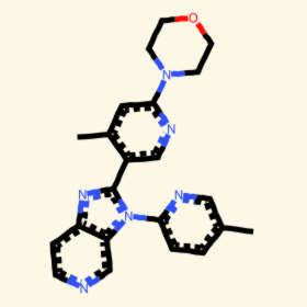 Cc1ccc(-n2c(-c3cnc(N4CCOCC4)cc3C)nc3ccncc32)nc1